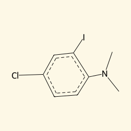 CN(C)c1ccc(Cl)cc1I